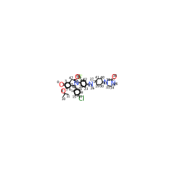 COc1cc2c(cc1OC(C)C)[C@H](c1ccc(Cl)cc1)N(c1ccc(N(C)C[C@H]3CC[C@H](N4CCN(C)C(=O)C4)CC3)cc1F)C(=O)C2